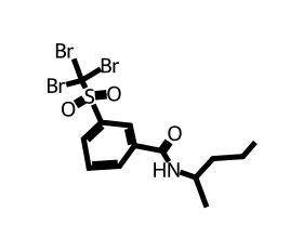 CCCC(C)NC(=O)c1cccc(S(=O)(=O)C(Br)(Br)Br)c1